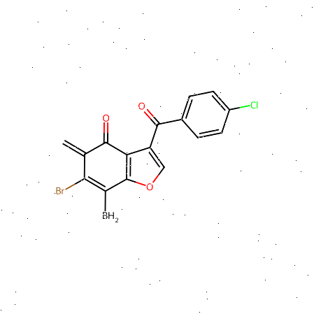 BC1=C(Br)C(=C)C(=O)c2c(C(=O)c3ccc(Cl)cc3)coc21